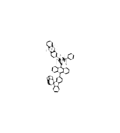 c1ccc(-c2nc(-c3ccc4c(c3)Oc3ccccc3O4)nc(-c3c4ccccc4c(-c4ccc5c(c4)C4(c6ccccc6-5)C5CC6CC(C5)CC4C6)c4ccccc34)n2)cc1